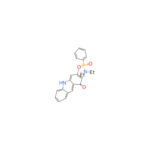 CCN(CC)P(=O)(Oc1cc2[nH]c3ccccc3cc-2c(=O)c1)c1ccccc1